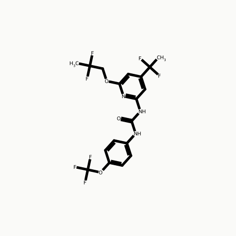 CC(F)(F)COc1cc(C(C)(F)F)cc(NC(=O)Nc2ccc(OC(F)(F)F)cc2)n1